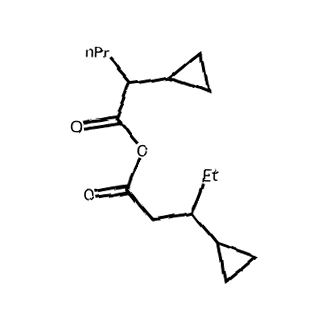 CCCC(C(=O)OC(=O)CC(CC)C1CC1)C1CC1